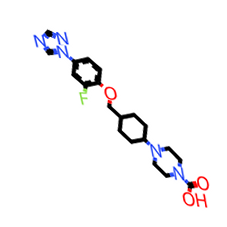 O=C(O)N1CCN(C2CCC(COc3ccc(-n4cncn4)cc3F)CC2)CC1